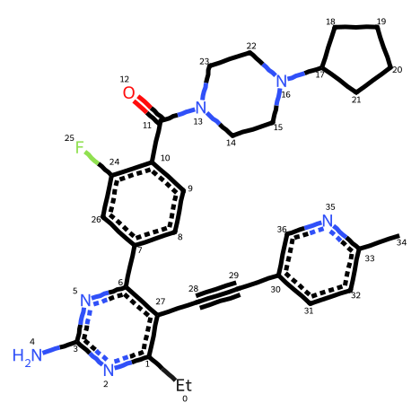 CCc1nc(N)nc(-c2ccc(C(=O)N3CCN(C4CCCC4)CC3)c(F)c2)c1C#Cc1ccc(C)nc1